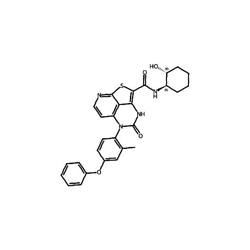 Cc1cc(Oc2ccccc2)ccc1N1C(=O)Nc2c(C(=O)N[C@@H]3CCCC[C@H]3O)sc3nccc1c23